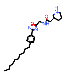 CCCCCCCCCCc1ccc(-c2noc(CNC(=O)C[C@@H]3CCCNC3)n2)cc1